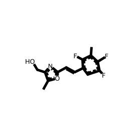 Cc1oc(C=Cc2cc(F)c(F)c(C)c2F)nc1CO